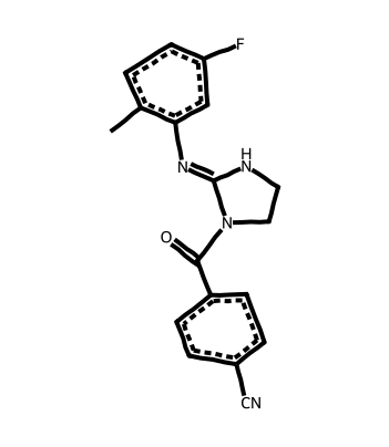 Cc1ccc(F)cc1N=C1NCCN1C(=O)c1ccc(C#N)cc1